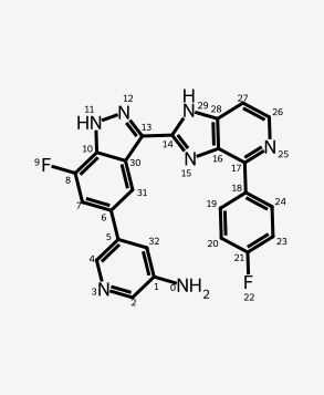 Nc1cncc(-c2cc(F)c3[nH]nc(-c4nc5c(-c6ccc(F)cc6)nccc5[nH]4)c3c2)c1